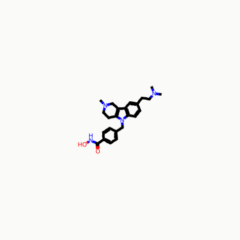 CN(C)CCc1ccc2c(c1)c1c(n2Cc2ccc(C(=O)NO)cc2)CCN(C)C1